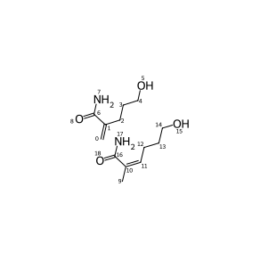 C=C(CCCO)C(N)=O.CC(=CCCCO)C(N)=O